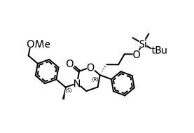 COCc1ccc([C@H](C)N2CC[C@](CCCO[Si](C)(C)C(C)(C)C)(c3ccccc3)OC2=O)cc1